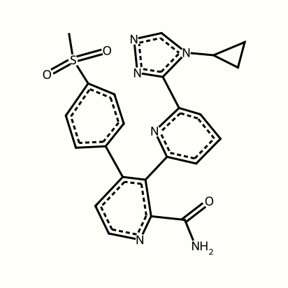 CS(=O)(=O)c1ccc(-c2ccnc(C(N)=O)c2-c2cccc(-c3nncn3C3CC3)n2)cc1